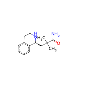 CC(C)(C[C@@H]1NCCc2ccccc21)C(N)=O